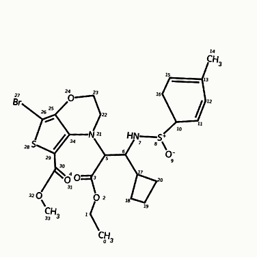 CCOC(=O)C(C(N[S+]([O-])C1C=CC(C)=CC1)C1CCC1)N1CCOc2c(Br)sc(C(=O)OC)c21